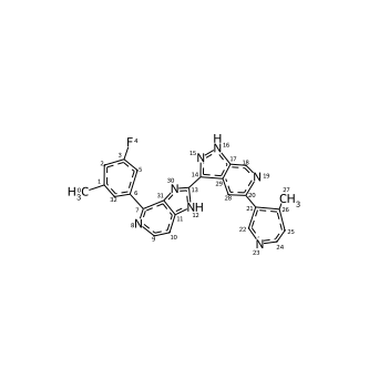 Cc1cc(F)cc(-c2nccc3[nH]c(-c4n[nH]c5cnc(-c6cnccc6C)cc45)nc23)c1